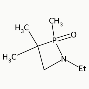 CCN1CC(C)(C)P1(C)=O